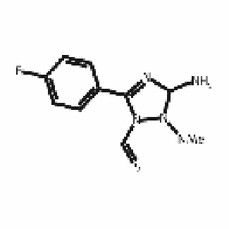 CNN1C(N)N=C(c2ccc(F)cc2)N1C=S